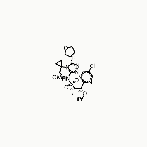 COCC1(n2c(NS(=O)(=O)[C@@H](C)[C@@H](OC(C)C)c3ncc(Cl)cn3)nnc2[C@H]2CCOC2)CC1